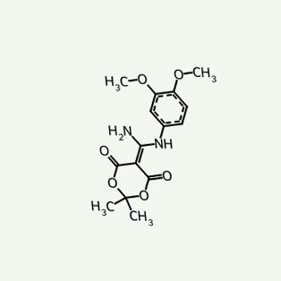 COc1ccc(NC(N)=C2C(=O)OC(C)(C)OC2=O)cc1OC